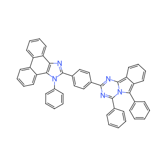 c1ccc(-c2nc(-c3ccc(-c4nc5c6ccccc6c6ccccc6c5n4-c4ccccc4)cc3)nc3c4ccccc4c(-c4ccccc4)n23)cc1